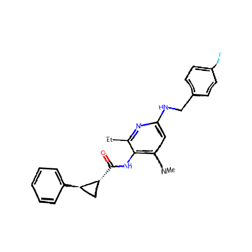 CCc1nc(NCc2ccc(F)cc2)cc(NC)c1NC(=O)[C@@H]1C[C@H]1c1ccccc1